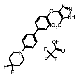 O=C(O)C(F)(F)F.O=C(O)c1[nH]nnc1Oc1ccc(-c2ccc(N3CCC(F)(F)CC3)cc2)cc1